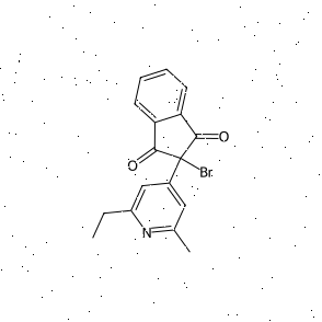 CCc1cc(C2(Br)C(=O)c3ccccc3C2=O)cc(C)n1